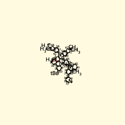 Cc1cc2c3c(c1)N(c1ccc(C(C)(C)C)cc1-c1ccccc1)c1cc(N4c5ccc(-c6cccnc6)cc5C5(C)CCCCC45C)ccc1B3c1cc3c(cc1N2c1ccc2c(c1)CC(C)(C)C2)CC(C)(C)C3